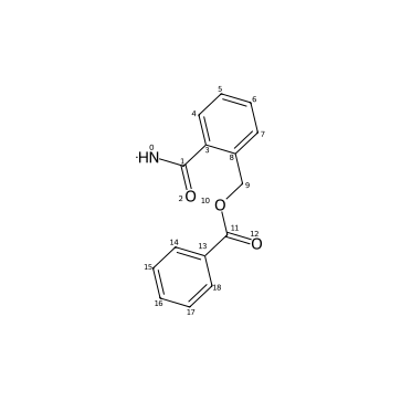 [NH]C(=O)c1ccccc1COC(=O)c1ccccc1